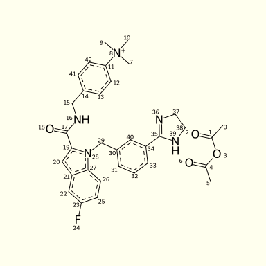 CC(=O)OC(C)=O.C[N+](C)(C)c1ccc(CNC(=O)c2cc3cc(F)ccc3n2Cc2cccc(C3=NCCN3)c2)cc1